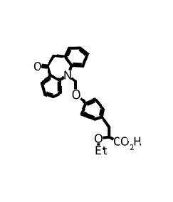 CCOC(Cc1ccc(OCN2c3ccccc3CC(=O)c3ccccc32)cc1)C(=O)O